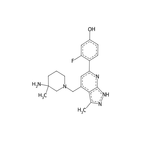 Cc1n[nH]c2nc(-c3ccc(O)cc3F)cc(CN3CCCC(C)(N)C3)c12